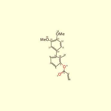 C=CC(=O)Oc1cccc(-c2ccc(OC)c(OC)c2)c1C